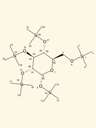 C[Si](C)(C)OC[C@H]1O[C@H](O[Si](C)(C)C)[C@H](O[Si](C)(C)C)[C@@H](O[Si](C)(C)C)[C@@H]1O[Si](C)(C)C